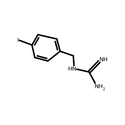 N=C(N)NCc1ccc(I)cc1